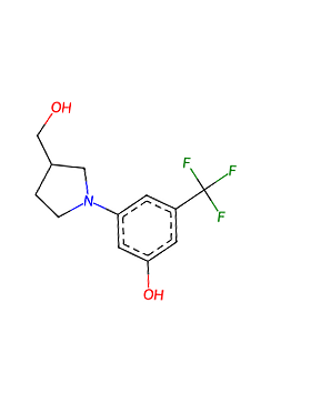 OCC1CCN(c2cc(O)cc(C(F)(F)F)c2)C1